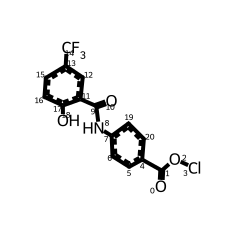 O=C(OCl)c1ccc(NC(=O)c2cc(C(F)(F)F)ccc2O)cc1